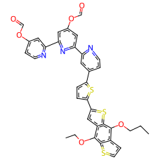 CCCOc1c2ccsc2c(OCC)c2cc(-c3ccc(-c4ccnc(-c5cc(OC=O)cc(-c6cc(OC=O)ccn6)n5)c4)s3)sc12